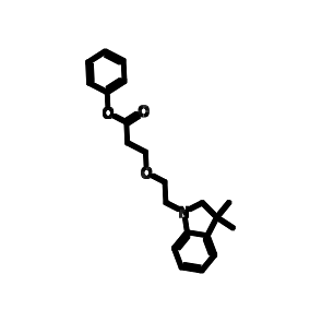 CC1(C)CN(CCOCCC(=O)Oc2ccccc2)c2ccccc21